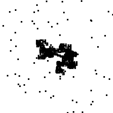 COc1cc(CC(=O)N[C@@H](Cc2ccccc2)C(=O)N[C@@H](Cc2ccc(C(F)(F)P(=O)(O)O)cc2)C(=O)N[C@@H](CCCCNC(=O)c2ccc(C)c(Br)c2)C(=O)NCCCCCCCC(=O)N[C@@H](C(=O)N2C[C@@H](O)C[C@@H]2C(=O)NCc2ccc(-c3scnc3C)cc2)C(C)(C)C)ccc1O